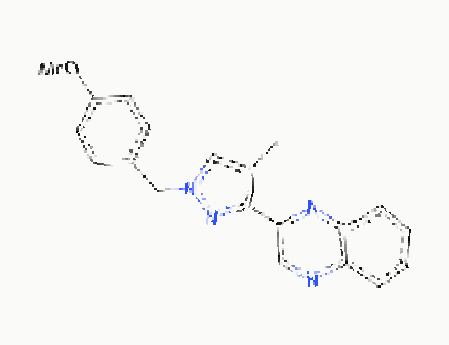 COc1ccc(Cn2cc(C)c(-c3cnc4ccccc4n3)n2)cc1